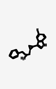 CN(Cc1ccccc1)C[C@H]1CC1c1c[nH]c2ccc(F)cc12